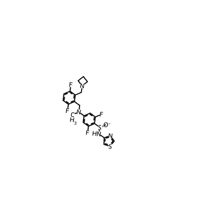 CN(Cc1c(F)ccc(F)c1CN1CCC1)c1cc(F)c([S+]([O-])Nc2cscn2)c(F)c1